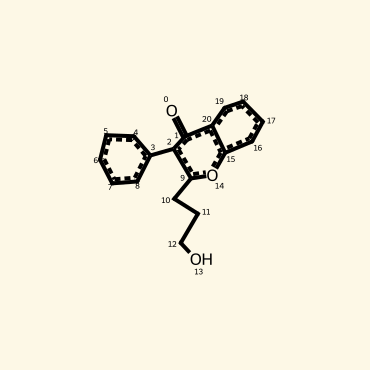 O=c1c(-c2ccccc2)c(CCCO)oc2ccccc12